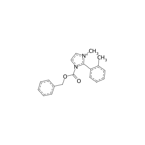 Cc1ccccc1-c1n(C(=O)OCc2ccccc2)cc[n+]1C